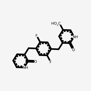 O=C(O)c1c[nH]c(=O)c(Cc2cc(F)c(Cc3ccc[nH]c3=O)cc2F)c1